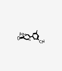 Cc1cc(C#N)cc(-c2c[nH]c(=O)cn2)c1